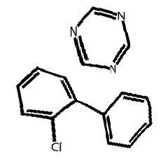 Clc1ccccc1-c1ccccc1.c1ncncn1